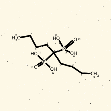 CCCCC(CCCC)(P(=O)(O)O)P(=O)(O)O